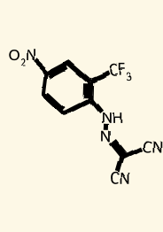 N#CC(C#N)=NNc1ccc([N+](=O)[O-])cc1C(F)(F)F